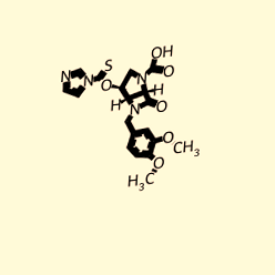 COc1ccc(CN2C(=O)[C@@H]3[C@H]2[C@@H](OC(=S)n2ccnc2)CN3C(=O)O)cc1OC